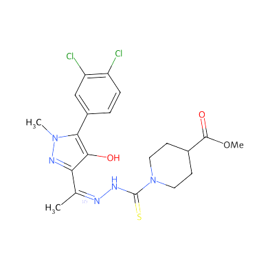 COC(=O)C1CCN(C(=S)N/N=C(/C)c2nn(C)c(-c3ccc(Cl)c(Cl)c3)c2O)CC1